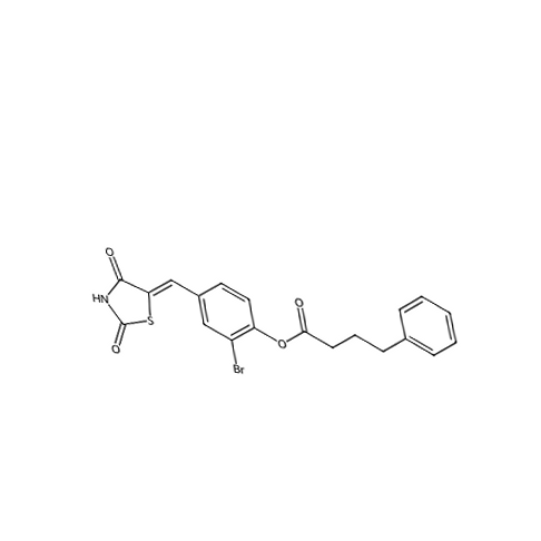 O=C(CCCc1ccccc1)Oc1ccc(/C=C2\SC(=O)NC2=O)cc1Br